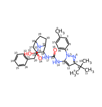 Cc1ccc(-n2nc(C(C)(C)C)cc2NC(=O)NC2C(Cc3ccccc3)CC3CCC2N3C(=O)O)cc1